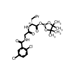 CC(C)C[C@@H](NC(=O)CNC(=O)c1cc(Cl)ccc1Cl)C(=O)OB1OC(C)(C)C(C)(C)O1